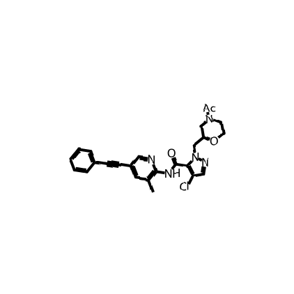 CC(=O)N1CCOC(Cn2ncc(Cl)c2C(=O)Nc2ncc(C#Cc3ccccc3)cc2C)C1